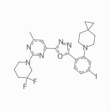 Cc1cc(-c2nnc(-c3ccc(I)cc3N3CCC4(CC3)CC4)o2)nc(N2CCCC(F)(F)C2)n1